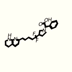 O=C(O)[C@H](c1ccccc1)N1CCC(C(F)(F)CCCCc2ccc3c(n2)NCCC3)C1